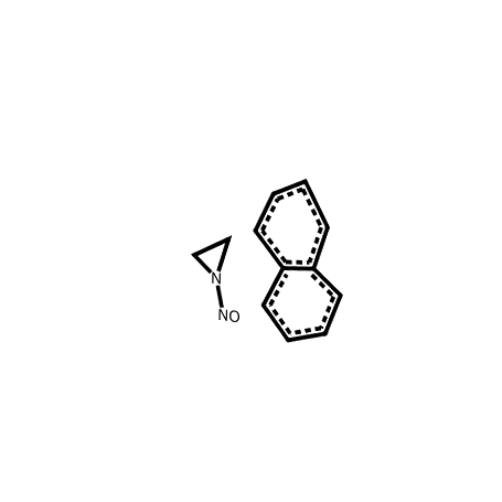 O=NN1CC1.c1ccc2ccccc2c1